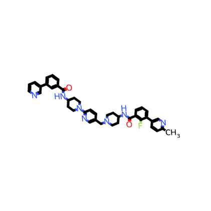 Cc1ccc(-c2cccc(C(=O)NC3CCN(Cc4ccc(N5CCC(NC(=O)c6cccc(-c7cccnc7)c6)CC5)nc4)CC3)c2F)cn1